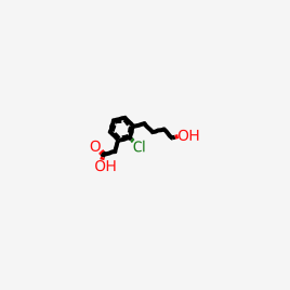 O=C(O)Cc1cccc(CCCCO)c1Cl